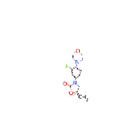 [CH2][C@@H]1CN(c2ccc(N3CCOCC3)c(F)c2)C(=O)O1